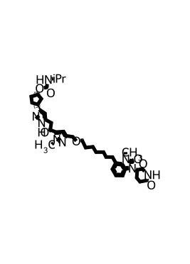 CC(C)NC(=O)O[C@@H]1CC[C@H](c2cc(CC(=O)c3cc(COCCCCCCCc4cccc5c4n(C)c(=O)n5C4CCC(=O)NC4=O)nn3C)[nH]n2)C1